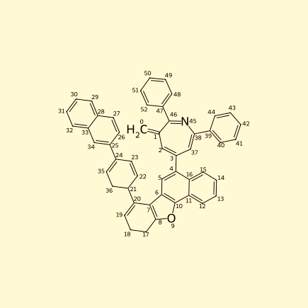 C=C1C=C(c2cc3c4c(oc3c3ccccc23)CCC=C4C2C=CC(c3ccc4ccccc4c3)=CC2)C=C(c2ccccc2)N=C1c1ccccc1